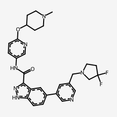 CN1CCC(Oc2ccc(NC(=O)c3n[nH]c4ccc(-c5cncc(CN6CCC(F)(F)C6)c5)cc34)cn2)CC1